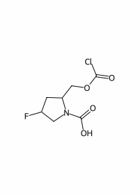 O=C(Cl)OCC1CC(F)CN1C(=O)O